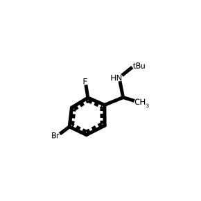 CC(NC(C)(C)C)c1ccc(Br)cc1F